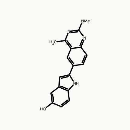 CNc1nc(C)c2cc(-c3cc4cc(O)ccc4[nH]3)ccc2n1